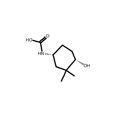 CC1(C)C[C@H](NC(=O)O)CC[C@@H]1O